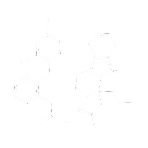 CCCC1(CC(=O)O)OCCc2c1[nH]c1ccccc21.O=C(O)Cc1ccccc1Oc1ccc(Cl)cc1Cl